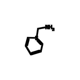 NCS1=CC=CC=C1